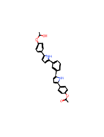 CC(=O)Oc1ccc(-c2ccc(-c3cccc(-c4ccc(-c5ccc(OC(C)O)cc5)[nH]4)c3)[nH]2)cc1